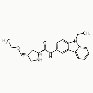 CCO/N=C1/CN[C@H](C(=O)Nc2ccc3c(c2)c2ccccc2n3CC)C1